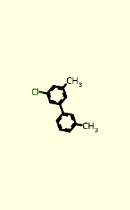 Cc1cccc(-c2cc(C)cc(Cl)c2)c1